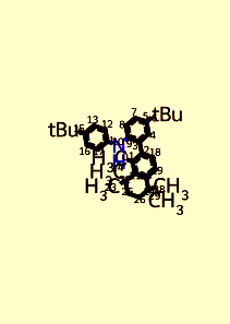 Cc1c(-c2cc(C(C)(C)C)ccc2Nc2ccc(C(C)(C)C)cc2)ccc2c1C(C)(C)CCC2(C)C